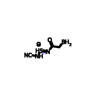 BCC(=O)/N=[SH](=O)/NC#N